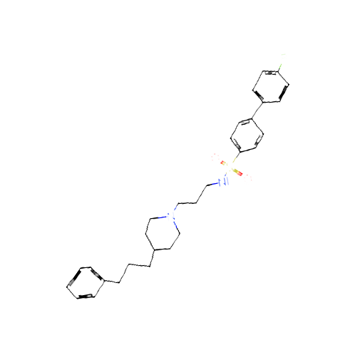 O=S(=O)(NCCCN1CCC(CCCc2ccccc2)CC1)c1ccc(-c2ccc(F)cc2)cc1